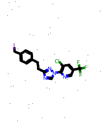 FC(F)(F)c1cnc(-n2cnc(CCc3ccc(CI)cc3)n2)c(Cl)c1